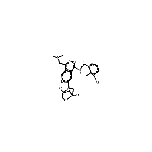 Cc1c(C#N)cccc1[C@@H](C)Nc1nnc(CN(C)C)c2cnc(N3C[C@H]4C[C@@H]3CO4)cc12